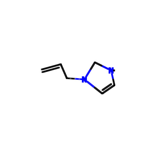 C=CCN1C=C[N]C1